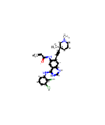 C=CC(=O)Nc1cc2c(Nc3cccc(Cl)c3F)ncnc2cc1C#C[C@]1(C)CCCN(C)C1